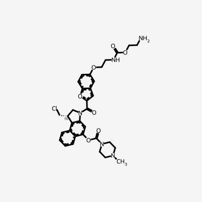 CN1CCN(C(=O)Oc2cc3c(c4ccccc24)[C@H](CCl)CN3C(=O)c2cc3cc(OCCNC(=O)OCCN)ccc3o2)CC1